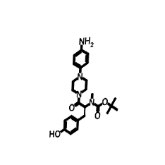 CN(C(=O)OC(C)(C)C)[C@@H](Cc1ccc(O)cc1)C(=O)N1CCN(c2ccc(N)cc2)CC1